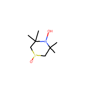 CC1(C)C[S+]([O-])CC(C)(C)N1O